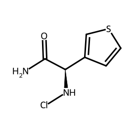 NC(=O)[C@H](NCl)c1ccsc1